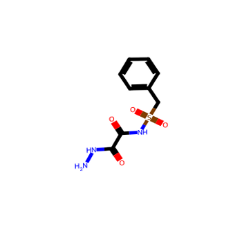 NNC(=O)C(=O)NS(=O)(=O)Cc1ccccc1